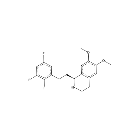 COc1cc2c(cc1OC)[C@H](CCc1cc(F)cc(F)c1F)NCC2